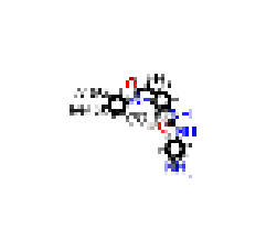 CCOC(=O)c1cc(OC)c(OC)cc1NC(=O)C(C)c1ccc(NC(=O)Nc2ccc(N)cc2)cc1